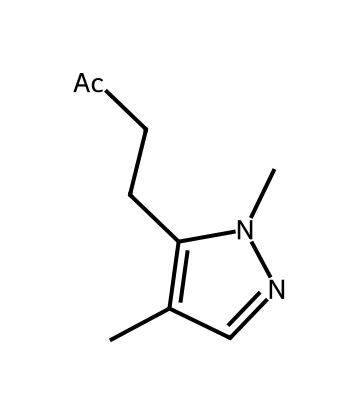 CC(=O)CCc1c(C)cnn1C